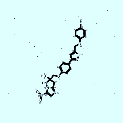 CC1(COc2ccc(-c3cc(COc4ccc(F)cc4)on3)cc2)CC2=NC=C([N+](=O)[O-])[N+]2N1